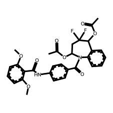 COc1cccc(OC)c1C(=O)Nc1ccc(C(=O)N2c3ccccc3C(OC(C)=O)C(F)(F)CC2OC(C)=O)cc1